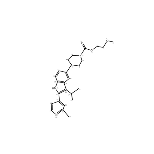 COCCOC(=O)N1CCC(c2ccc3[nH]c(-c4ccnc(C)c4)c(C(C)C)c3c2)CC1